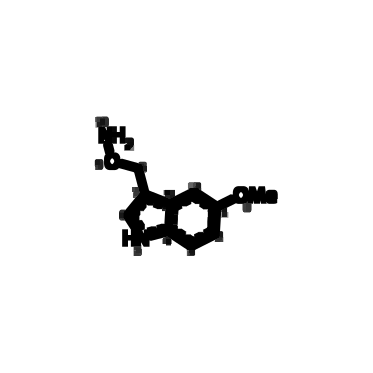 COc1ccc2[nH]cc(CON)c2c1